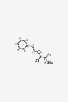 C=C(C(=O)OC=Cc1ccccc1)C(C)(C)C